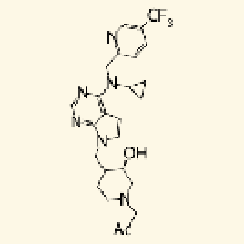 CC(=O)CN1CCC(Cn2ccc3c(N(Cc4ccc(C(F)(F)F)cn4)C4CC4)ncnc32)[C@@H](O)C1